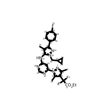 CCOC(=O)C(F)(F)c1c(C)nn(-c2cc(Nc3c(C)c(-c4ccc(F)cc4)nn3CC3CC3)ncn2)c1C